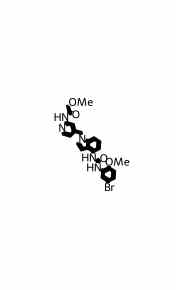 COCC(=O)Nc1cc(Cn2ccc3c(NC(=O)Nc4cc(Br)ccc4OC)cccc32)ccn1